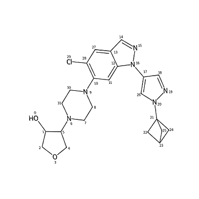 OC1COCC1N1CCN(c2cc3c(cnn3-c3cnn(C45CC(C4)C5)c3)cc2Cl)CC1